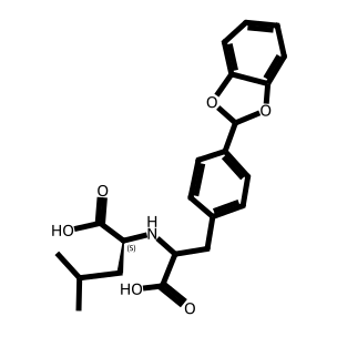 CC(C)C[C@H](NC(Cc1ccc(C2Oc3ccccc3O2)cc1)C(=O)O)C(=O)O